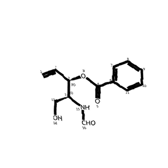 C=C[C@@H](OC(=O)c1ccccc1)[C@H](CO)NC=O